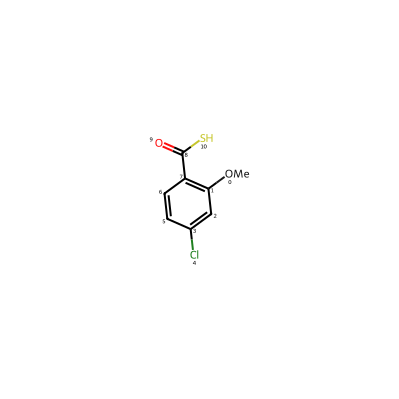 COc1cc(Cl)ccc1C(=O)S